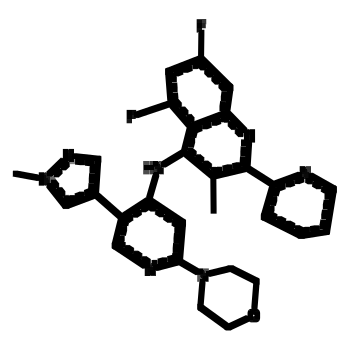 Cc1c(-c2ccccn2)nc2cc(F)cc(F)c2c1Nc1cc(N2CCOCC2)ncc1-c1cnn(C)c1